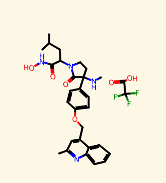 CNC1(c2ccc(OCc3cc(C)nc4ccccc34)cc2)CCN(C(CC(C)C)C(=O)NO)C1=O.O=C(O)C(F)(F)F